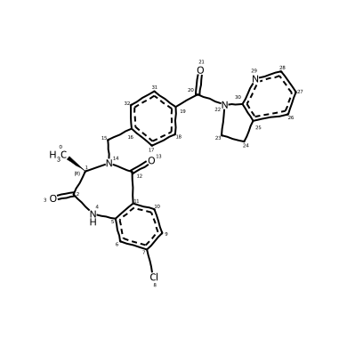 C[C@@H]1C(=O)Nc2cc(Cl)ccc2C(=O)N1Cc1ccc(C(=O)N2CCc3cccnc32)cc1